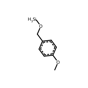 COc1ccc(CO[SiH3])cc1